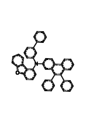 c1ccc(-c2cccc(N(c3ccc4c(c3)c(-c3ccccc3)c(-c3ccccc3)c3ccccc34)c3cccc4oc5ccccc5c34)c2)cc1